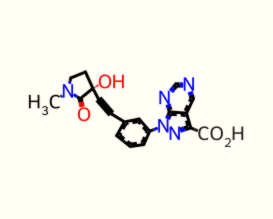 CN1CC[C@@](O)(C#Cc2cccc(-n3nc(C(=O)O)c4cncnc43)c2)C1=O